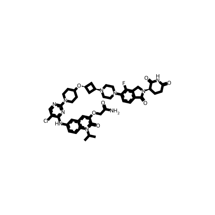 CC(C)n1c(=O)c(OCC(N)=O)cc2cc(Nc3nc(N4CCC(O[C@H]5C[C@H](N6CCN(c7ccc8c(c7F)CN([C@@H]7CCC(=O)NC7=O)C8=O)CC6)C5)CC4)ncc3Cl)ccc21